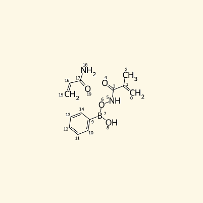 C=C(C)C(=O)NOB(O)c1ccccc1.C=CC(N)=O